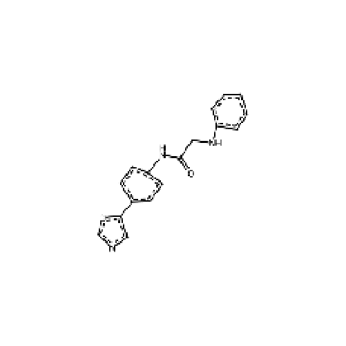 O=C(CNc1ccccc1)Nc1ccc(-c2cnco2)cc1